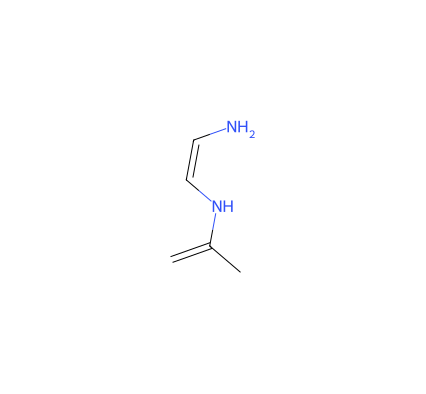 C=C(C)N/C=C\N